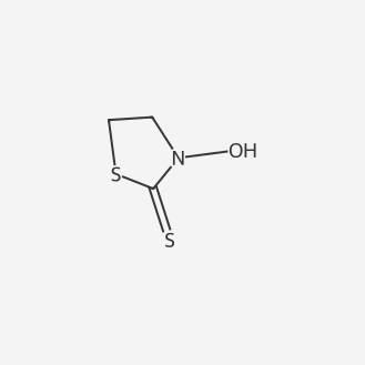 ON1CCSC1=S